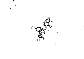 Cc1ncn2ncn(Cc3nc([C@@]45C6[C@H]4[C@H]5CN6c4cc(Cl)ccn4)no3)c(=O)c12